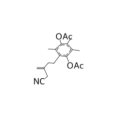 C=C(CC#N)CCc1c(C)c(OC(C)=O)c(C)c(C)c1OC(C)=O